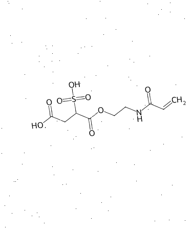 C=CC(=O)NCCOC(=O)C(CC(=O)O)S(=O)(=O)O